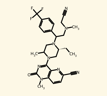 CC[C@@H]1CN(c2nc(=O)n(C)c3ccc(C#N)nc23)C(C)CN1C(CN(C)CC#N)c1ccc(C(F)(F)F)cc1